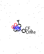 COc1ccc(/C(=C/[C@H]2CCC(=O)N2)c2ccc(C3CC3)c(=O)[nH]2)cc1C(F)(F)F